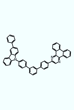 c1ccc(-c2ccc3c(c2)c2ccccc2n3-c2ccc(-c3cccc(-c4ccc(-c5cnc6c7ccccc7c7ccccc7c6n5)cc4)c3)cc2)cc1